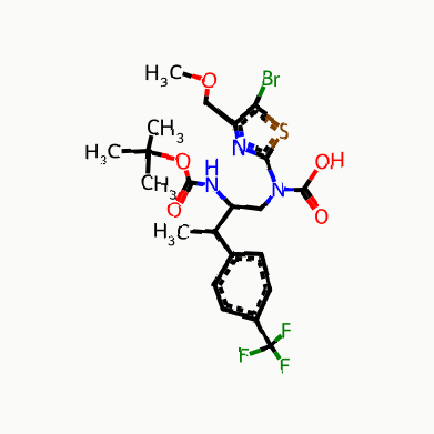 COCc1nc(N(CC(NC(=O)OC(C)(C)C)C(C)c2ccc(C(F)(F)F)cc2)C(=O)O)sc1Br